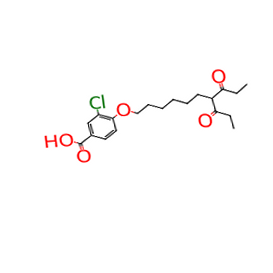 CCC(=O)C(CCCCCCOc1ccc(C(=O)O)cc1Cl)C(=O)CC